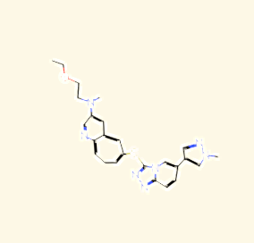 CCOCCN(C)c1cnc2c(c1)=CC(Sc1nnc3ccc(-c4cnn(C)c4)cn13)=CCC=2